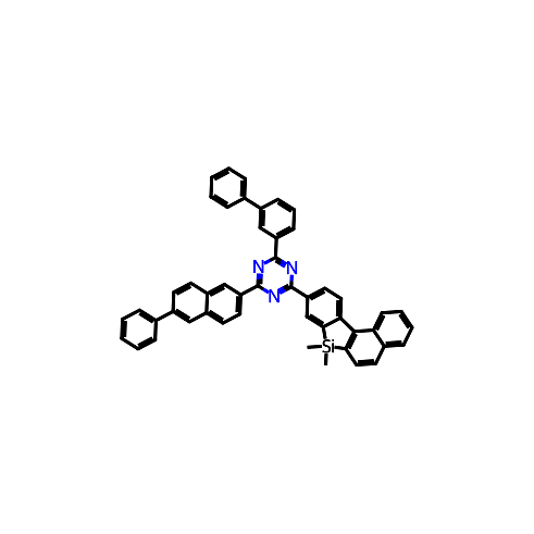 C[Si]1(C)c2cc(-c3nc(-c4cccc(-c5ccccc5)c4)nc(-c4ccc5cc(-c6ccccc6)ccc5c4)n3)ccc2-c2c1ccc1ccccc21